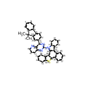 CC1(C)c2ccccc2-c2ccc(-c3nc(-n4c5ccccc5c5c6ccccc6c6sc7ccccc7c6c54)nc4cccnc34)cc21